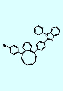 Brc1ccc(-c2ccccccc(-c3ccc(-c4nc5ccccc5n4C4C=CC=CC4)cc3)c3ccccc23)cc1